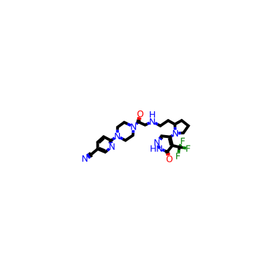 N#Cc1ccc(N2CCN(C(=O)CNCCC3CCCN3c3cn[nH]c(=O)c3C(F)(F)F)CC2)nc1